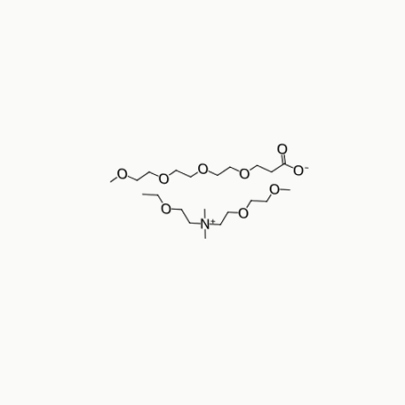 CCOCC[N+](C)(C)CCOCCOC.COCCOCCOCCOCCC(=O)[O-]